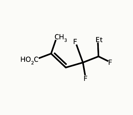 CCC(F)C(F)(F)/C=C(\C)C(=O)O